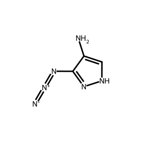 [N-]=[N+]=Nc1n[nH]cc1N